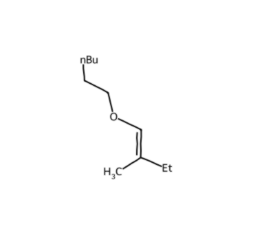 CCCCCCO/C=C(\C)CC